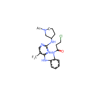 CC(=O)N1CCCC(Nc2ncc(C(F)(F)F)c(Nc3ccccc3NC(=O)CCCl)n2)C1